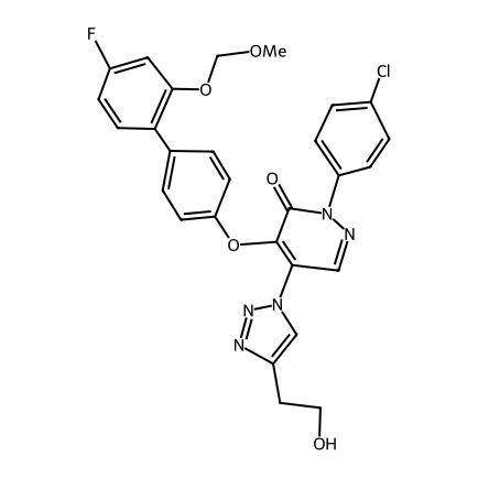 COCOc1cc(F)ccc1-c1ccc(Oc2c(-n3cc(CCO)nn3)cnn(-c3ccc(Cl)cc3)c2=O)cc1